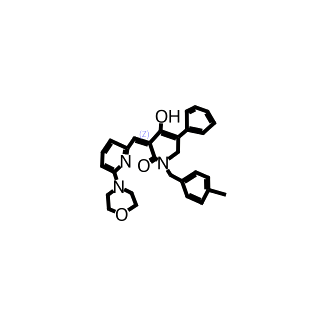 Cc1ccc(CN2CC(c3ccccc3)=C(O)/C(=C/c3cccc(N4CCOCC4)n3)C2=O)cc1